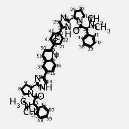 CN(C)[C@@H](C(=O)N1CCC[C@H]1c1nc(-c2ccc3nc(C45CCC(c6cnc([C@@H]7CCCN7C(=O)[C@@H](c7ccccc7)N(C)C)[nH]6)(CC4)CC5)ccc3c2)c[nH]1)c1ccccc1